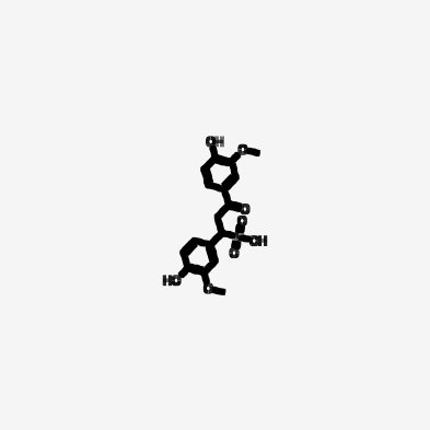 COc1cc(C(=O)CC(c2ccc(O)c(OC)c2)S(=O)(=O)O)ccc1O